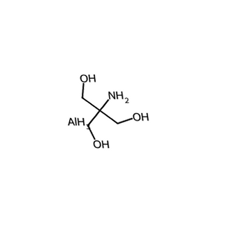 NC(CO)(CO)CO.[AlH3]